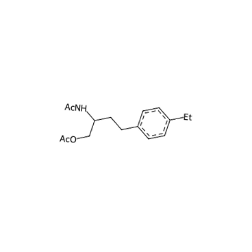 CCc1ccc(CCC(COC(C)=O)NC(C)=O)cc1